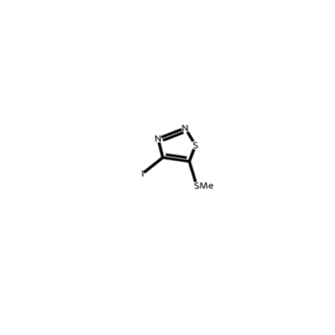 CSc1snnc1I